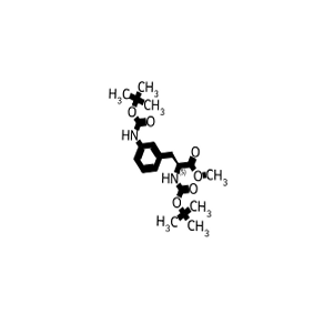 COC(=O)[C@H](Cc1cccc(NC(=O)OC(C)(C)C)c1)NC(=O)OC(C)(C)C